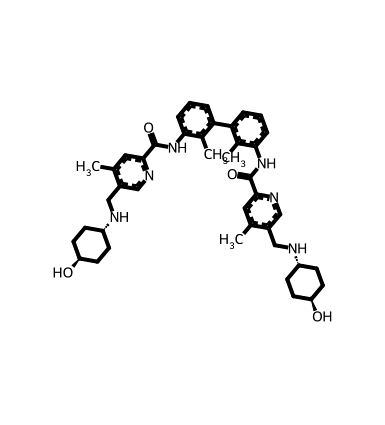 Cc1cc(C(=O)Nc2cccc(-c3cccc(NC(=O)c4cc(C)c(CN[C@H]5CC[C@H](O)CC5)cn4)c3C)c2C)ncc1CN[C@H]1CC[C@H](O)CC1